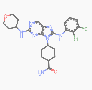 NC(=O)C1CCC(n2c(Nc3cccc(Cl)c3Cl)nc3cnc(NC4CCOCC4)nc32)CC1